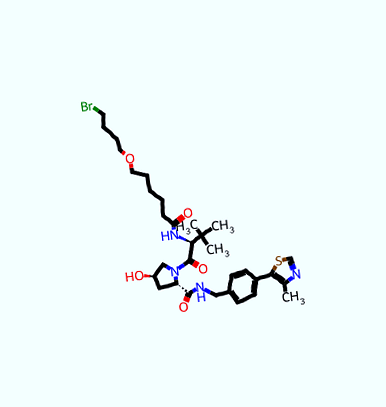 Cc1ncsc1-c1ccc(CNC(=O)[C@@H]2C[C@@H](O)CN2C(=O)[C@@H](NC(=O)CCCCCOCCCCBr)C(C)(C)C)cc1